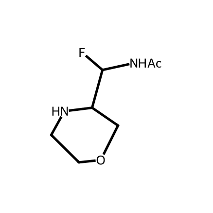 CC(=O)NC(F)C1COCCN1